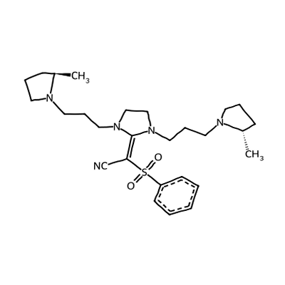 C[C@@H]1CCCN1CCCN1CCN(CCCN2CCC[C@@H]2C)C1=C(C#N)S(=O)(=O)c1ccccc1